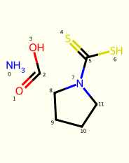 N.O=CO.S=C(S)N1CCCC1